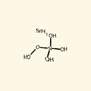 OO[Si](O)(O)O.[SrH2]